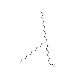 CCCCCCCCCCN(CCCCCCN)CCCCCCCCCC